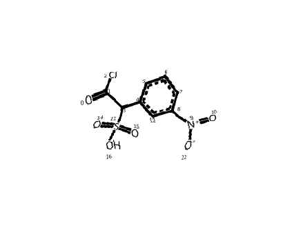 O=C(Cl)C(c1cccc([N+](=O)[O-])c1)S(=O)(=O)O